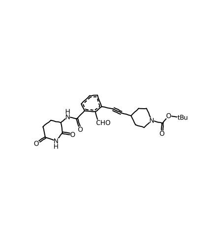 CC(C)(C)OC(=O)N1CCC(C#Cc2cccc(C(=O)NC3CCC(=O)NC3=O)c2C=O)CC1